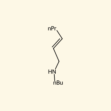 CCCC=CCNCCCC